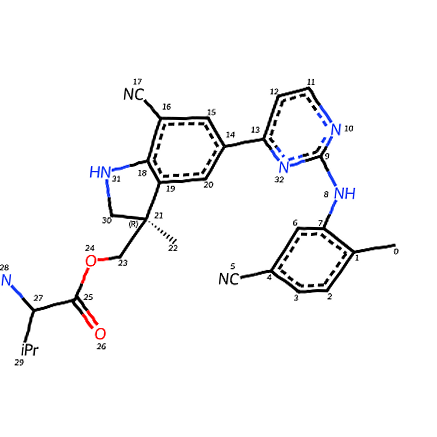 Cc1ccc(C#N)cc1Nc1nccc(-c2cc(C#N)c3c(c2)[C@@](C)(COC(=O)C(N)C(C)C)CN3)n1